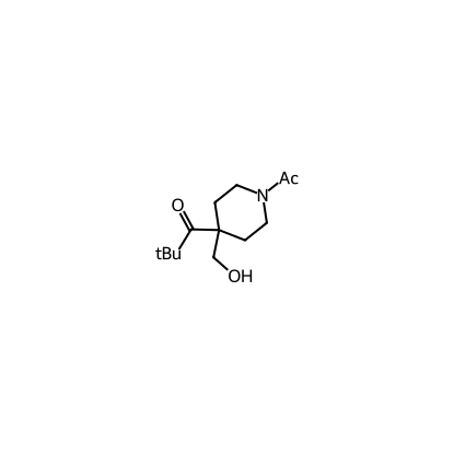 CC(=O)N1CCC(CO)(C(=O)C(C)(C)C)CC1